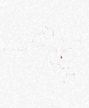 COc1ccc(CN2C3CC2CN(c2cnc(-c4cc(C(C)NC(=O)O)cn5ncc(C#N)c45)cn2)C3)cn1